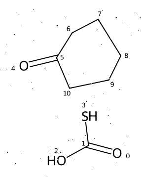 O=C(O)S.O=C1CCCCC1